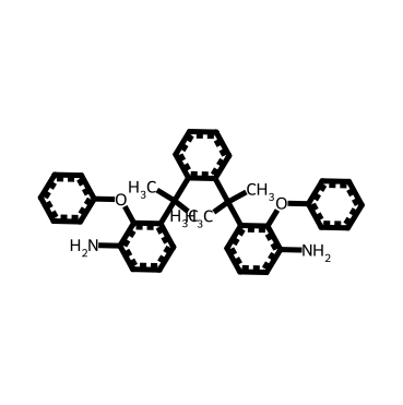 CC(C)(c1ccccc1C(C)(C)c1cccc(N)c1Oc1ccccc1)c1cccc(N)c1Oc1ccccc1